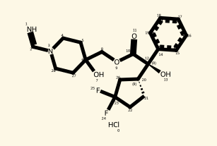 Cl.N=CN1CCC(O)(COC(=O)[C@](O)(c2ccccc2)[C@@H]2CCC(F)(F)C2)CC1